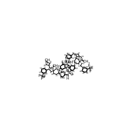 CN1CC(CN(C)[C@@]2(CCc3cccc(C(F)(F)F)c3)CCCN(c3ccc(S(=O)(=O)Nc4cc(CN5CC(CN(C)[C@]6(CCc7cccc(C(F)(F)F)c7)CCCN(c7ccc(S(=O)(=O)Nc8ccncn8)c(F)c7)C6)C5)ncn4)c(F)c3)C2)C1